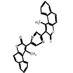 Cc1c(-c2cnc(-c3c(C)c4c(ccc5ccccc54)oc3=O)cn2)c(=O)oc2ccc3ccccc3c12